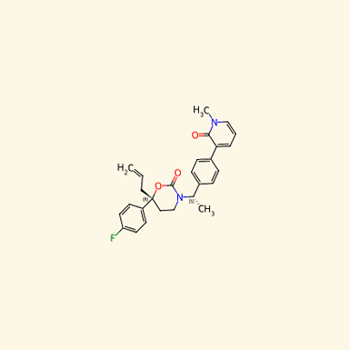 C=CC[C@]1(c2ccc(F)cc2)CCN([C@@H](C)c2ccc(-c3cccn(C)c3=O)cc2)C(=O)O1